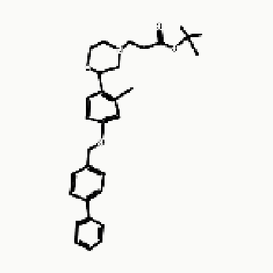 Cc1cc(OCc2ccc(-c3ccccc3)cc2)ccc1C1CN(CCC(=O)OC(C)(C)C)CCO1